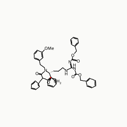 COc1cccc(CCN(C(=O)C(c2ccccc2)c2ccccc2)[C@H](CCCNC(=NC(=O)OCc2ccccc2)NC(=O)OCc2ccccc2)C(N)=O)c1